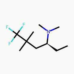 CC[C@@H](CC(C)(C)C(F)(F)F)N(C)C